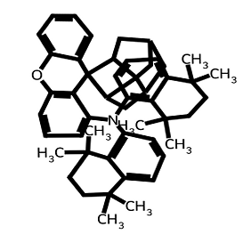 CC1(C)CCC(C)(C)c2c(N(c3cccc4c3C(C)(C)CCC4(C)C)c3cccc4c3C3(c5ccccc5O4)C4CC5CC6CC3C64C5)cccc21